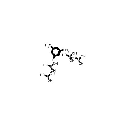 OB(O)O.OB(O)O.OB(O)O.OB(O)O.[Li][c]1cc(C)cc(C)c1